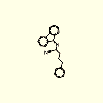 N#CC(CCCc1ccccc1)N=C1c2ccccc2-c2ccccc21